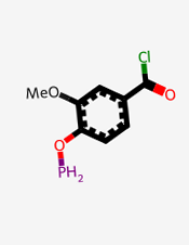 COc1cc(C(=O)Cl)ccc1OP